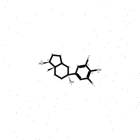 C[C@]12CC[C@](O)(c3cc(F)c(O)c(F)c3)CC1CC[C@@H]2O